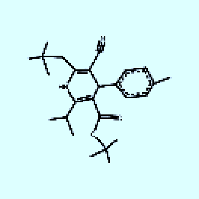 Cc1ccc(C2C(C#N)=C(CC(C)(C)C)NC(C(C)C)=C2C(=O)OC(C)(C)C)cc1